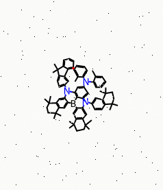 Cc1ccccc1N(c1cc2c3c(c1)N(c1ccc4c(c1)C(C)(C)CCC4(C)C)c1cc4c(cc1B3c1cc3c(cc1N2c1ccc2c(c1)-c1ccccc1C2(C)C)C(C)(C)CCC3(C)C)C(C)(C)CCC4(C)C)c1ccccc1C